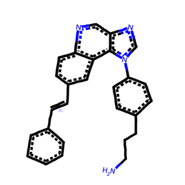 NCCCc1ccc(-n2cnc3cnc4ccc(/C=C/c5ccccc5)cc4c32)cc1